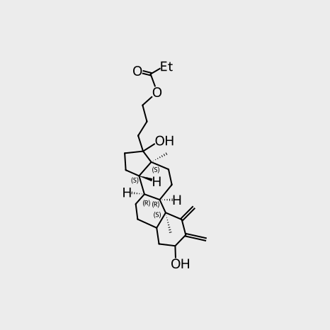 C=C1C(=C)[C@@]2(C)C(CC[C@@H]3[C@H]2CC[C@@]2(C)[C@H]3CCC2(O)CCCOC(=O)CC)CC1O